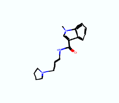 Cn1cc(C(=O)NCCCN2C[CH]CC2)c2ccccc21